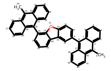 Cc1c2ccccc2c(-c2ccc3oc4c(-c5c6ccccc6c(C)c6ccccc56)cccc4c3c2)c2ccccc12